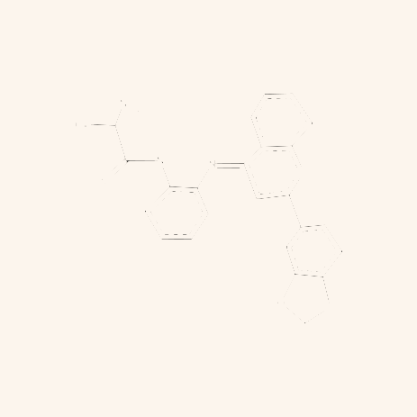 CC(C)(C)C(N)C(=O)Nc1ccccc1N=c1cc(-c2ccc3c(c2)OCO3)oc2ccccc12